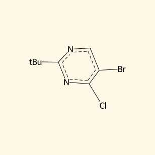 CC(C)(C)c1ncc(Br)c(Cl)n1